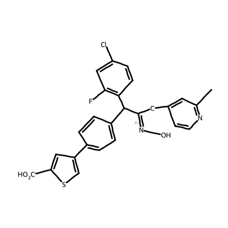 Cc1cc(C/C(=N\O)C(c2ccc(-c3csc(C(=O)O)c3)cc2)c2ccc(Cl)cc2F)ccn1